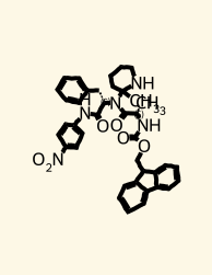 C[C@H](NC(=O)OCC1c2ccccc2-c2ccccc21)C(=O)N([C@@H](Cc1ccccc1)C(=O)Nc1ccc([N+](=O)[O-])cc1)C1(C)CCCCN1